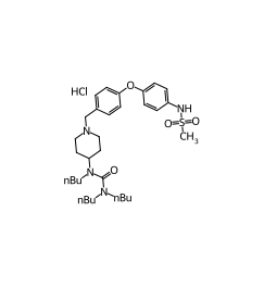 CCCCN(CCCC)C(=O)N(CCCC)C1CCN(Cc2ccc(Oc3ccc(NS(C)(=O)=O)cc3)cc2)CC1.Cl